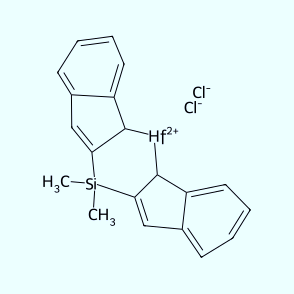 C[Si]1(C)C2=Cc3ccccc3[CH]2[Hf+2][CH]2C1=Cc1ccccc12.[Cl-].[Cl-]